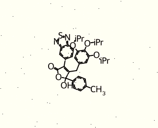 Cc1ccc(C2(O)OC(=O)C(c3ccc4nsnc4c3)=C2Cc2cc(OC(C)C)c(OC(C)C)c(OC(C)C)c2)cc1